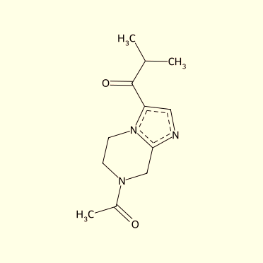 CC(=O)N1CCn2c(C(=O)C(C)C)cnc2C1